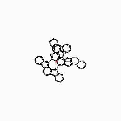 c1ccc(-c2nc(-c3ccccc3-c3ccccc3)nc(-n3c4ccccc4c4ccc5c6ccccc6n(-c6cc(-c7ccc8ccccc8c7)c7oc8ccccc8c7c6)c5c43)n2)cc1